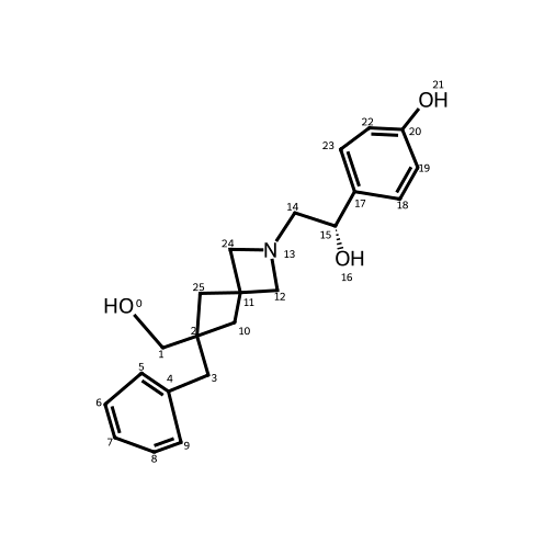 OCC1(Cc2ccccc2)CC2(CN(C[C@@H](O)c3ccc(O)cc3)C2)C1